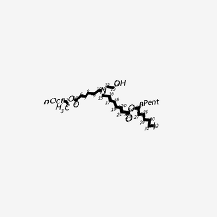 CCCCCCCCC(C)OC(=O)CCCCCN(CCO)CCCCCCCC(=O)OC(CCCCC)CCCCCI